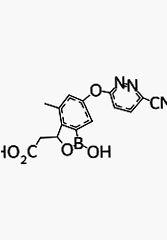 Cc1cc(Oc2ccc(C#N)nn2)cc2c1C(CC(=O)O)OB2O